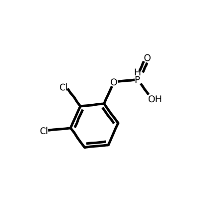 O=[PH](O)Oc1cccc(Cl)c1Cl